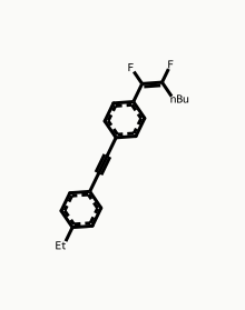 CCCC/C(F)=C(/F)c1ccc(C#Cc2ccc(CC)cc2)cc1